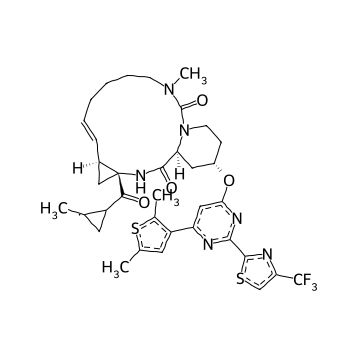 C[C]1CC1C(=O)[C@@]12C[C@H]1/C=C/CCCCN(C)C(=O)N1CC[C@H](Oc3cc(-c4cc(C)sc4C)nc(-c4nc(C(F)(F)F)cs4)n3)C[C@H]1C(=O)N2